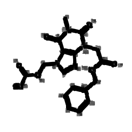 Cn1c(=O)c2c(ncn2COC(=O)C(C)(C)C)n(CC(=O)OCc2ccccc2)c1=O